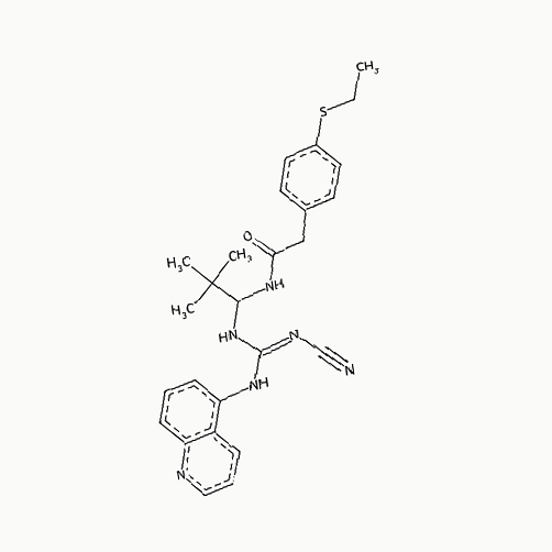 CCSc1ccc(CC(=O)NC(N/C(=N/C#N)Nc2cccc3ncccc23)C(C)(C)C)cc1